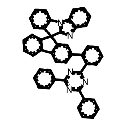 c1ccc(-c2nc(-c3ccccc3)nc(-c3ccccc3-c3ccc4c(c3)C3(c5ccccc5-4)c4ccccc4-n4c3nc3ccccc34)n2)cc1